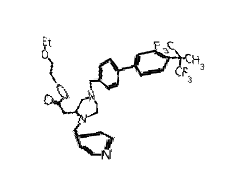 CCOCCOC(=O)CC1CN(Cc2ccc(-c3ccc(C(C)(C(F)(F)F)C(F)(F)F)cc3)cc2)CCN1Cc1ccncc1